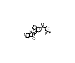 CC(CC(F)(F)F)C(=O)N1CCC(O)(CN2Cc3cnccc3C2=O)C2(CCCC2)C1